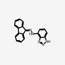 c1ccc2c(c1)C(=NNc1cccc3[nH]nnc13)c1ccccc1-2